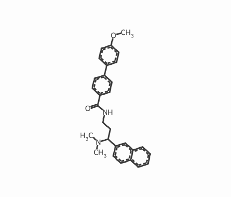 COc1ccc(-c2ccc(C(=O)NCCC(c3ccc4ccccc4c3)N(C)C)cc2)cc1